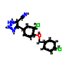 N#Cc1[nH]nnc1-c1ccc(OCc2ccc(Cl)cc2)c(Cl)c1